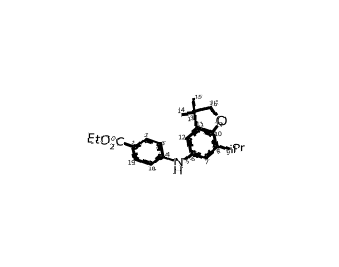 CCOC(=O)c1ccc(Nc2cc(C(C)C)c3c(c2)C(C)(C)CO3)cc1